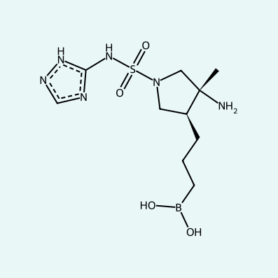 C[C@]1(N)CN(S(=O)(=O)Nc2ncn[nH]2)C[C@@H]1CCCB(O)O